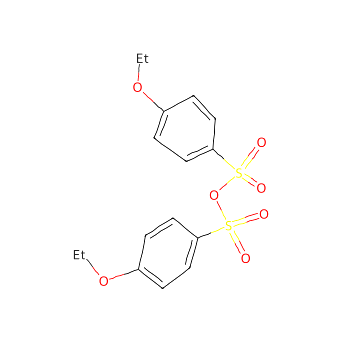 CCOc1ccc(S(=O)(=O)OS(=O)(=O)c2ccc(OCC)cc2)cc1